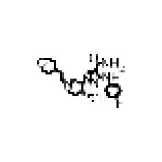 C#C[C@@H]1CCN(CCC2CCOCC2)CC1n1cc(C(N)=O)c(Nc2ccc(F)cc2)n1